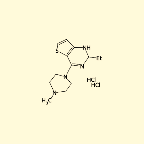 CCC1N=C(N2CCN(C)CC2)c2sccc2N1.Cl.Cl